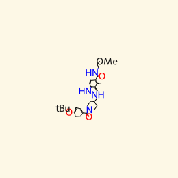 COCCNC(=O)C1=C(C)/C(=C/NCC2CCN(C(=O)C3=CC=C(OC(C)(C)C)CC3)CC2)C(=N)C=C1